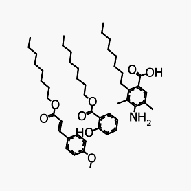 CCCCCCCCOC(=O)C=Cc1ccc(OC)cc1.CCCCCCCCOC(=O)c1ccccc1O.CCCCCCCCc1c(C(=O)O)cc(C)c(N)c1C